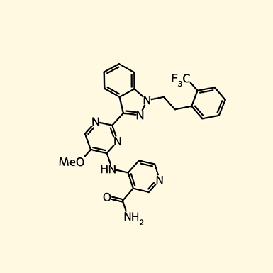 COc1cnc(-c2nn(CCc3ccccc3C(F)(F)F)c3ccccc23)nc1Nc1ccncc1C(N)=O